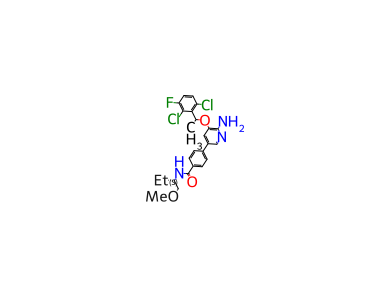 CC[C@@H](COC)NC(=O)c1ccc(-c2cnc(N)c(OC(C)c3c(Cl)ccc(F)c3Cl)c2)cc1